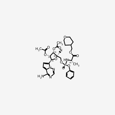 CC(=O)O[C@H]1[C@H](c2ccc3c(N)ncnn23)O[C@](C#N)(COP(=O)(N[C@@H](C)C(=O)OCC2CCOCC2)Oc2ccccc2)[C@H]1OC(C)=O